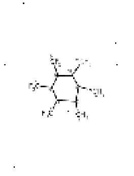 CC1C(C)C(C(F)(F)F)C(C(F)(F)F)C(C(F)(F)F)C1C(F)(F)F